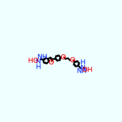 N=C(NO)c1ccc(OCCCOc2ccc(-c3cc4cc(C(=N)NO)ccc4o3)cc2)cc1